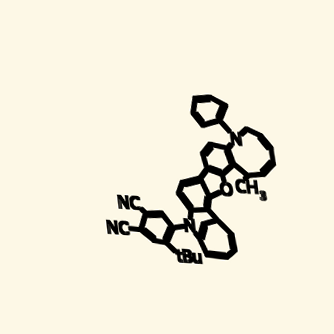 CC1/C=C\C=C/CN(c2ccccc2)c2ccc3c(oc4c5c(ccc43)N(c3cc(C#N)c(C#N)cc3C(C)(C)C)C3=CC5C=CC=C3)c21